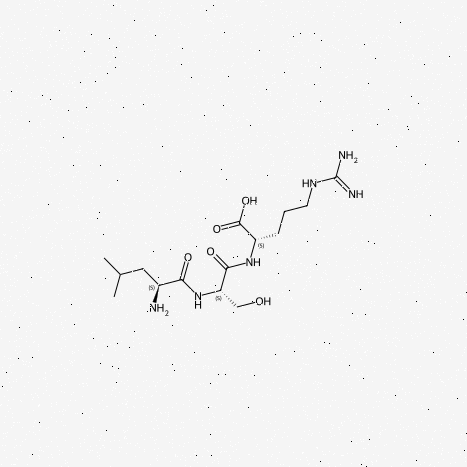 CC(C)C[C@H](N)C(=O)N[C@@H](CO)C(=O)N[C@@H](CCCNC(=N)N)C(=O)O